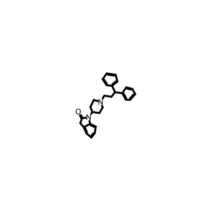 O=C1Cc2ccccc2N1C1CCN(CCC(c2ccccc2)c2ccccc2)CC1